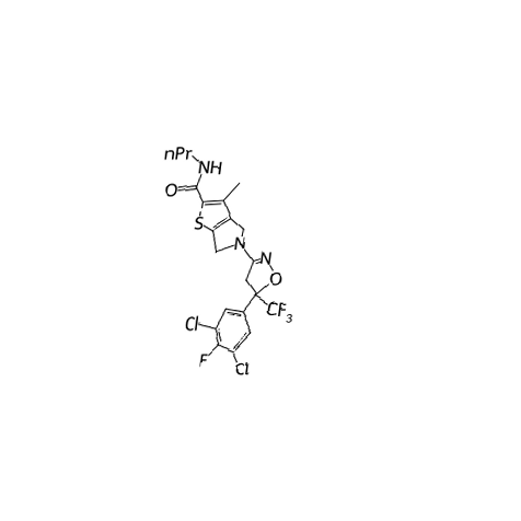 CCCNC(=O)c1sc2c(c1C)CN(C1=NOC(c3cc(Cl)c(F)c(Cl)c3)(C(F)(F)F)C1)C2